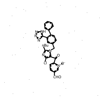 CCCCc1nc(Cl)c(C(=O)c2ccc(C=O)c[n+]2[O-])n1Cc1ccc(-c2ccccc2)c(-c2nnn[nH]2)c1